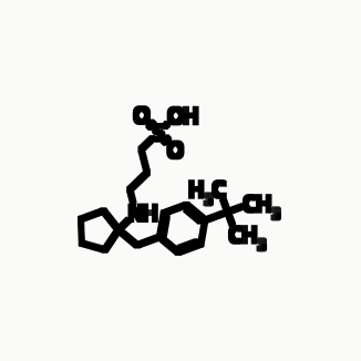 CC(C)(C)c1ccc(CC2(NCCCS(=O)(=O)O)CCCC2)cc1